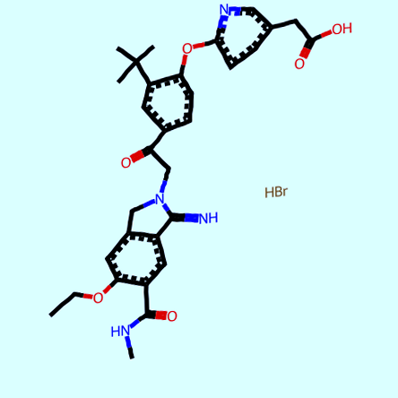 Br.CCOc1cc2c(cc1C(=O)NC)C(=N)N(CC(=O)c1ccc(Oc3ccc(CC(=O)O)cn3)c(C(C)(C)C)c1)C2